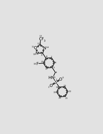 O=S(=O)(NCc1ccc(-c2noc(C(F)(F)F)n2)c(F)c1)c1ccccc1